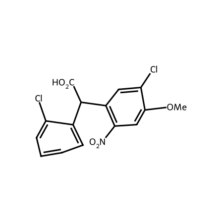 COc1cc([N+](=O)[O-])c(C(C(=O)O)c2ccccc2Cl)cc1Cl